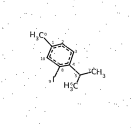 Cc1ccc(C(C)C)c(I)c1